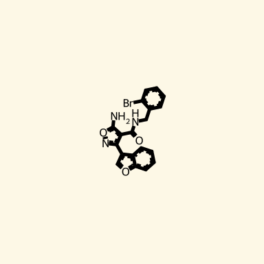 Nc1onc(-c2coc3ccccc23)c1C(=O)NCc1ccccc1Br